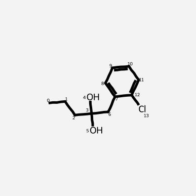 CCCC(O)(O)Cc1ccccc1Cl